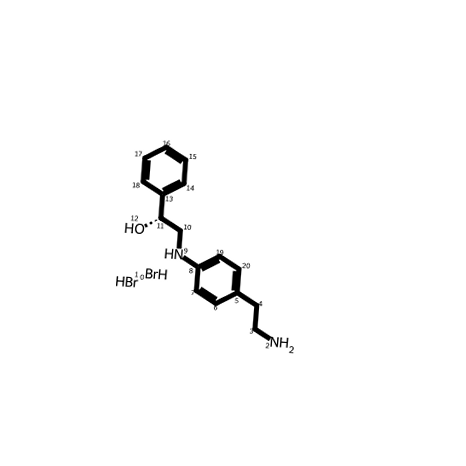 Br.Br.NCCc1ccc(NC[C@H](O)c2ccccc2)cc1